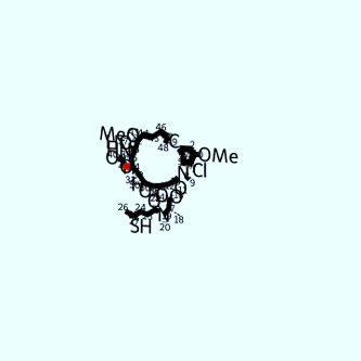 COc1cc2cc(c1Cl)N(C)C(=O)C[C@H](OC(=O)[C@H](C)N(C)C(=O)CCC(C)S)[C@@]1(C)O[C@H]1[C@H](C)[C@@H]1C[C@@](O)(NC(=O)O1)[C@H](OC)/C=C/C=C(\C)C2